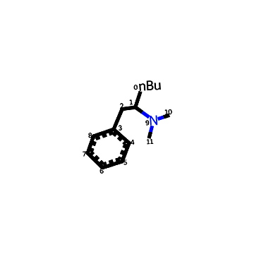 CCCCC(Cc1ccccc1)N(C)C